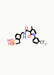 Cc1ccn(-c2cccc(C(F)(F)F)c2)c(=O)c1C(=O)NCc1ccc2c(c1)CCS2(O)O